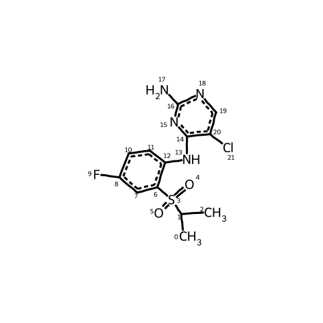 CC(C)S(=O)(=O)c1cc(F)ccc1Nc1nc(N)ncc1Cl